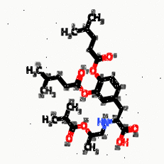 CC(C)CCC(=O)Oc1ccc(C[C@H](NCC(C)OC(=O)C(C)C)C(=O)O)cc1OC(=O)CCC(C)C